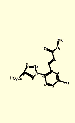 CC(C)(C)OC(=O)/C=C/c1cc(Cl)ccc1-n1cc(C(=O)O)nn1